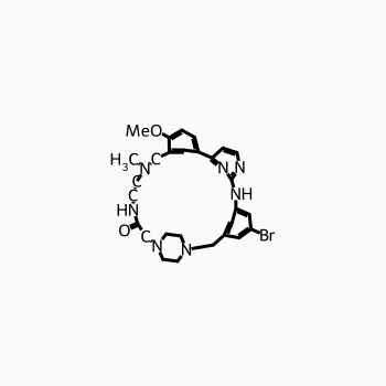 COc1ccc2cc1CN(C)CCNC(=O)CN1CCN(CC1)Cc1cc(Br)cc(c1)Nc1nccc-2n1